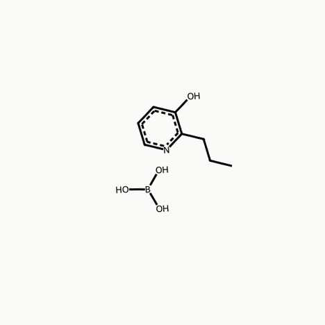 CCCc1ncccc1O.OB(O)O